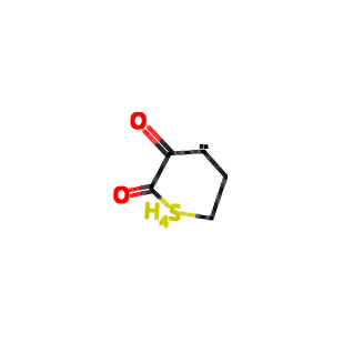 O=C1[C]CC[SH4]C1=O